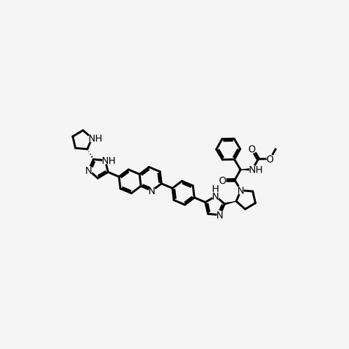 COC(=O)N[C@@H](C(=O)N1CCC[C@H]1c1ncc(-c2ccc(-c3ccc4cc(-c5cnc([C@@H]6CCCN6)[nH]5)ccc4n3)cc2)[nH]1)c1ccccc1